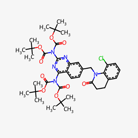 CC(C)(C)OC(=O)N(C(=O)OC(C)(C)C)c1nc(N(C(=O)OC(C)(C)C)C(=O)OC(C)(C)C)c2ccc(CN3C(=O)CCc4cccc(Cl)c43)cc2n1